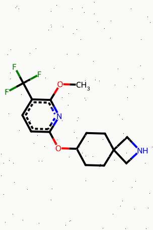 COc1nc(OC2CCC3(CC2)CNC3)ccc1C(F)(F)F